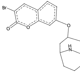 O=c1oc2cc(OC3CC4CCCC(C3)N4)ccc2cc1Br